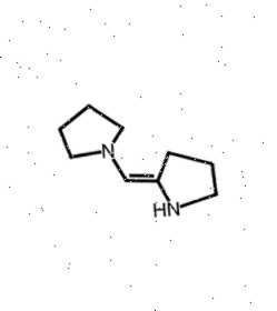 C(=C1CCCN1)N1CCCC1